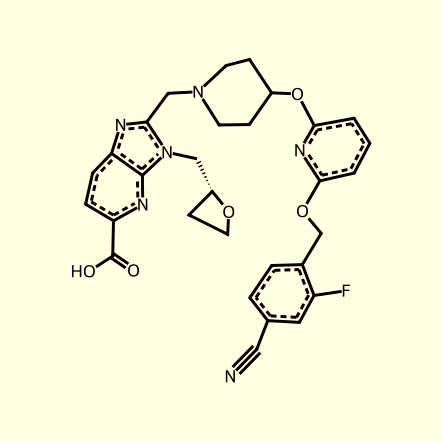 N#Cc1ccc(COc2cccc(OC3CCN(Cc4nc5ccc(C(=O)O)nc5n4C[C@H]4CCO4)CC3)n2)c(F)c1